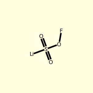 [Li][S](=O)(=O)OF